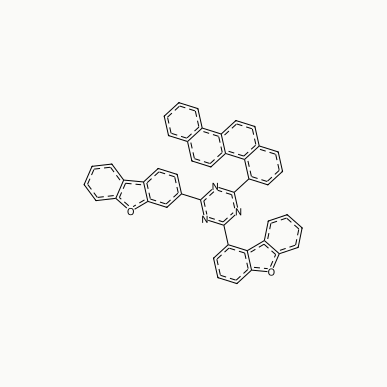 c1ccc2c(c1)ccc1c2ccc2cccc(-c3nc(-c4ccc5c(c4)oc4ccccc45)nc(-c4cccc5oc6ccccc6c45)n3)c21